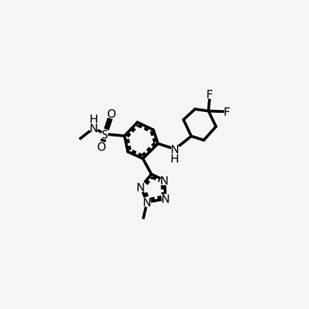 CNS(=O)(=O)c1ccc(NC2CCC(F)(F)CC2)c(-c2nnn(C)n2)c1